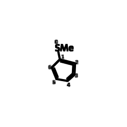 CSC1=C=C=CC=C1